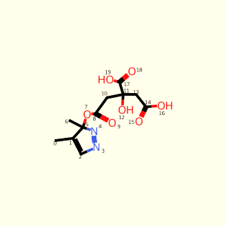 CC1=CN=NC1(C)OC(=O)CC(O)(CC(=O)O)C(=O)O